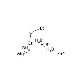 CCOCC.[BH4-].[BH4-].[BH4-].[BH4-].[Mg+2].[Zn+2]